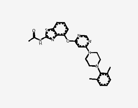 CC(=O)Nc1nc2c(Oc3cc(N4CCN(c5c(C)cccc5C)CC4)ncn3)cccc2s1